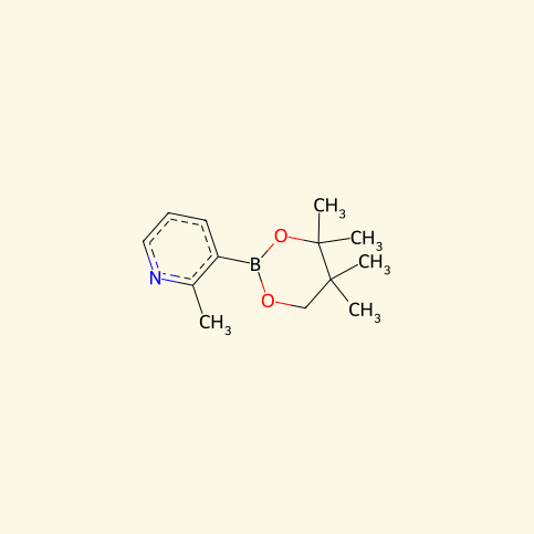 Cc1ncccc1B1OCC(C)(C)C(C)(C)O1